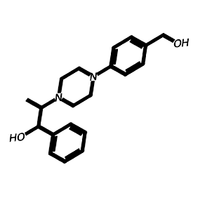 CC(C(O)c1ccccc1)N1CCN(c2ccc(CO)cc2)CC1